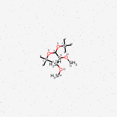 C[Si](C)(C)OC(O[Si](C)(C)C)[SiH](O[SiH3])[SiH2]O[SiH3]